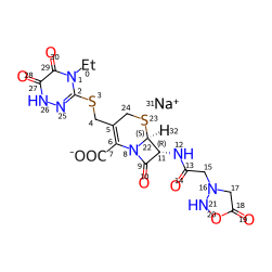 CCn1c(SCC2=C(C(=O)[O-])N3C(=O)[C@@H](NC(=O)CN4CC(=O)ON4)[C@@H]3SC2)n[nH]c(=O)c1=O.[Na+]